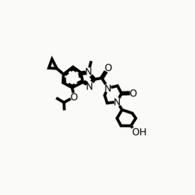 CC(C)Oc1cc(C2CC2)cc2c1nc(C(=O)N1CCN(C3CCC(O)CC3)C(=O)C1)n2C